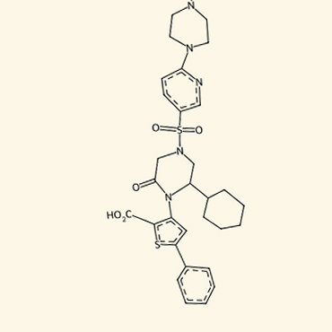 CN1CCN(c2ccc(S(=O)(=O)N3CC(=O)N(c4cc(-c5ccccc5)sc4C(=O)O)C(C4CCCCC4)C3)cn2)CC1